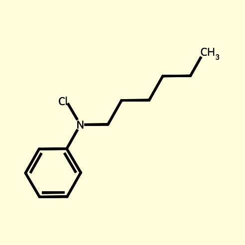 CCCCCCN(Cl)c1ccccc1